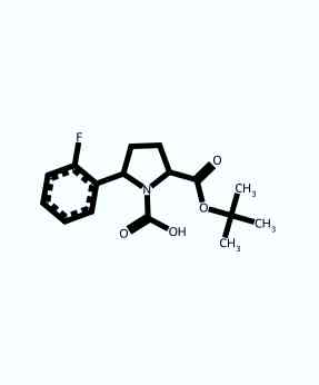 CC(C)(C)OC(=O)C1CCC(c2ccccc2F)N1C(=O)O